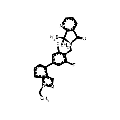 BC1(B)c2ncccc2C(=O)N1Cc1c(F)cc(-c2cccc3c2cnn3CC)cc1F